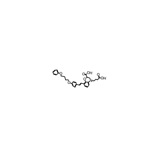 O=C(O)CCCN1CC(C(=O)O)Oc2c(C=Cc3ccc(OCCCCOc4ccccc4)cc3)cccc21